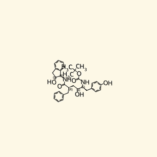 CC(C)(C)OC(=O)N[C@@H](Cc1ccc(O)cc1)[C@@H](O)C[C@@H](Cc1ccccc1)C(=O)N[C@@H]1c2ccccc2C[C@@H]1O